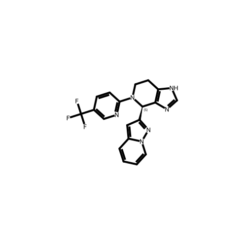 FC(F)(F)c1ccc(N2CCc3[nH]cnc3[C@H]2c2cc3ccccn3n2)nc1